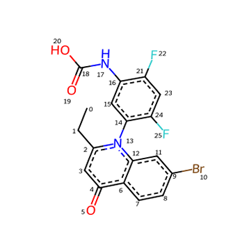 CCc1cc(=O)c2ccc(Br)cc2n1-c1cc(NC(=O)O)c(F)cc1F